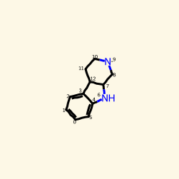 c1ccc2c(c1)NC1C[N]CCC21